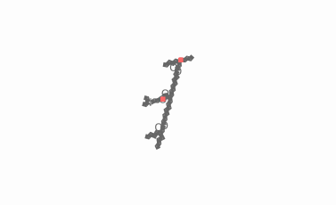 CCCCCC(CCCCC)CC(=O)OCCCCCCCCC(CCCCCCCCOC(=O)CC(CCCCC)CCCCC)C(=O)OCCCCN(CC)CC